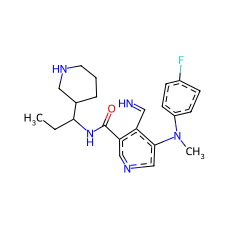 CCC(NC(=O)c1cncc(N(C)c2ccc(F)cc2)c1C=N)C1CCCNC1